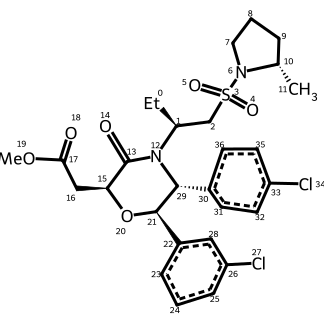 CC[C@@H](CS(=O)(=O)N1CCC[C@@H]1C)N1C(=O)[C@H](CC(=O)OC)O[C@H](c2cccc(Cl)c2)[C@H]1c1ccc(Cl)cc1